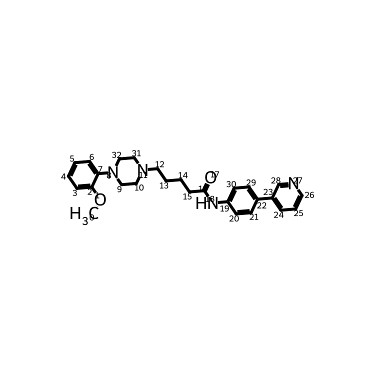 COc1ccccc1N1CCN(CCCCC(=O)Nc2ccc(-c3cccnc3)cc2)CC1